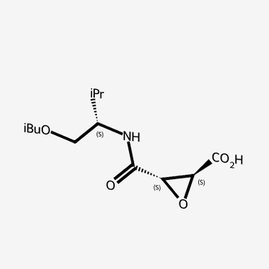 CC(C)COC[C@@H](NC(=O)[C@H]1O[C@@H]1C(=O)O)C(C)C